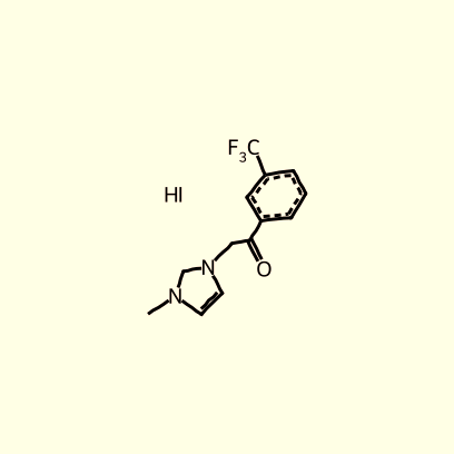 CN1C=CN(CC(=O)c2cccc(C(F)(F)F)c2)C1.I